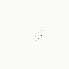 CC(C)CC(C)COc1ccc(O)c2c1C1(CCC1)N(O)C2=N